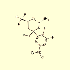 NC1=N[C@](CF)(c2cc([N+](=O)[O-])cc(F)c2F)C[C@@H](C(F)(F)F)O1